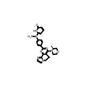 C[C@H]1COCCN1c1nc(-c2ccc(N(N)c3cccc(=O)[nH]3)cc2)nc2c1CCn1ccnc1-2